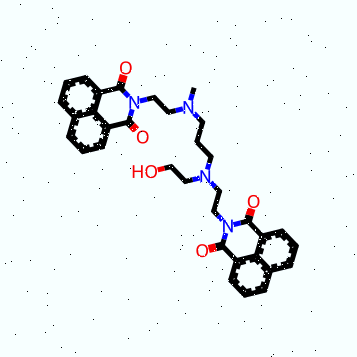 CN(CCCN(CCO)CCN1C(=O)c2cccc3cccc(c23)C1=O)CCN1C(=O)c2cccc3cccc(c23)C1=O